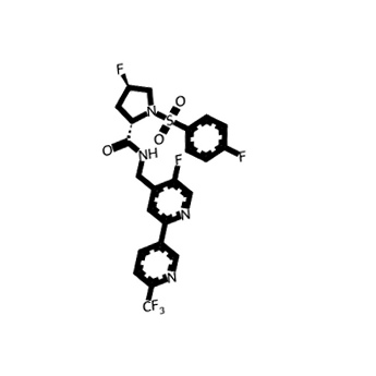 O=C(NCc1cc(-c2ccc(C(F)(F)F)nc2)ncc1F)[C@@H]1C[C@@H](F)CN1S(=O)(=O)c1ccc(F)cc1